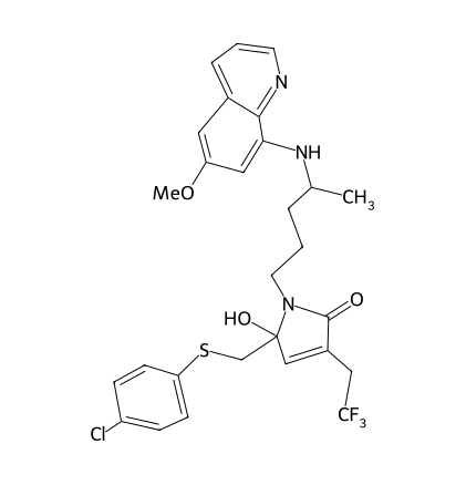 COc1cc(NC(C)CCCN2C(=O)C(CC(F)(F)F)=CC2(O)CSc2ccc(Cl)cc2)c2ncccc2c1